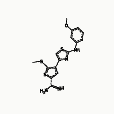 COc1cccc(Nc2nc(-c3cc(C(=N)N)sc3SC)cs2)c1